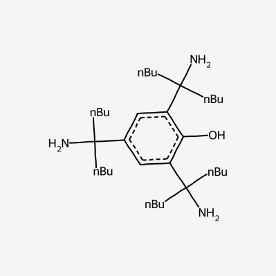 CCCCC(N)(CCCC)c1cc(C(N)(CCCC)CCCC)c(O)c(C(N)(CCCC)CCCC)c1